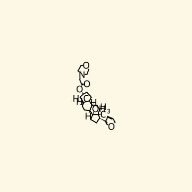 C[C@]12CC[C@H](OC(=O)CN3CCOCC3)C[C@H]1CC[C@@H]1[C@@H]2CC[C@]2(C)[C@@H](C3=COCC=C3)CC[C@]12O